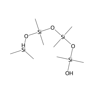 C[SiH](C)O[Si](C)(C)O[Si](C)(C)O[Si](C)(C)O